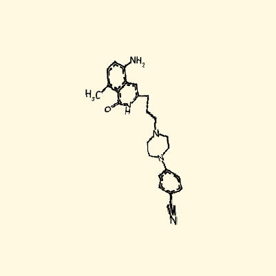 Cc1ccc(N)c2cc(CCCN3CCN(c4ccc(C#N)cc4)CC3)[nH]c(=O)c12